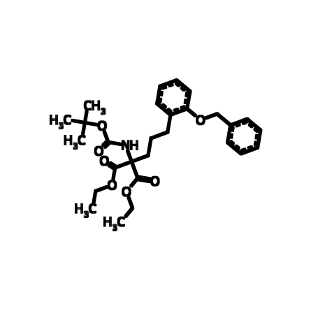 CCOC(=O)C(CCCc1ccccc1OCc1ccccc1)(NC(=O)OC(C)(C)C)C(=O)OCC